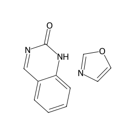 O=c1ncc2ccccc2[nH]1.c1cocn1